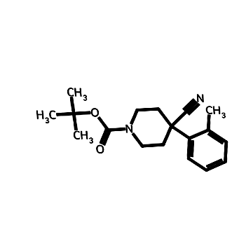 Cc1ccccc1C1(C#N)CCN(C(=O)OC(C)(C)C)CC1